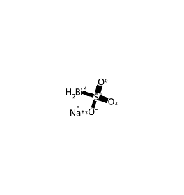 O=[S](=O)([O-])[BiH2].[Na+]